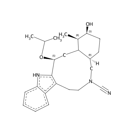 CC(C)O[C@H]1CC2[C@@H](CC[C@H](O)[C@@H]2C)CN(C#N)CCc2c1[nH]c1ccccc21